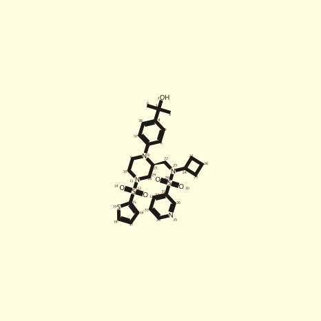 CC(C)(O)c1ccc(N2CCN(S(=O)(=O)c3cccs3)C[C@@H]2CN(C2CCC2)S(=O)(=O)c2cccnc2)cc1